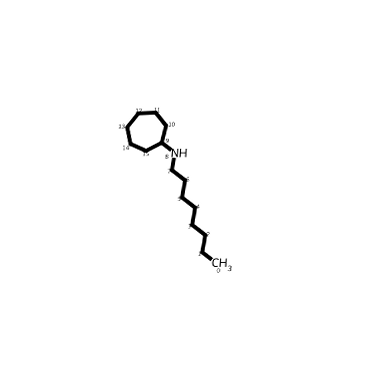 CCCCCCCCNC1CCCCCC1